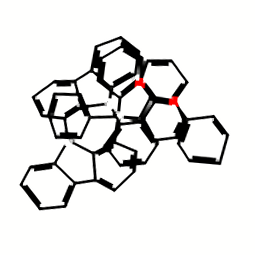 c1ccc(-c2ccccc2-c2ccccc2-n2c3ccccc3c3cccc(-n4c5ccccc5c5cccc([Si](c6ccccc6)(c6ccccc6)c6ccccc6)c54)c32)cc1